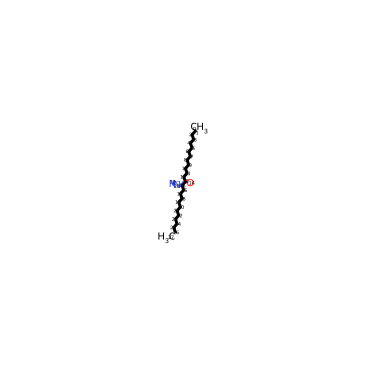 CCCCCCCCCCCCCC(=O)C(CCCCCCCCCCCC)=[N+]=[N-]